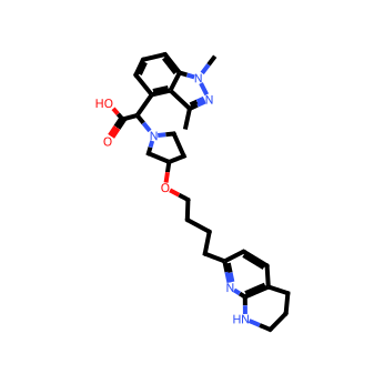 Cc1nn(C)c2cccc(C(C(=O)O)N3CCC(OCCCCc4ccc5c(n4)NCCC5)C3)c12